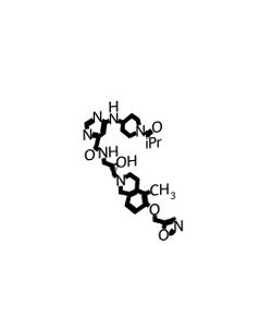 Cc1c(OCc2cnco2)ccc2c1CCN(C[C@@H](O)CNC(=O)c1cc(NC3CCN(C(=O)C(C)C)CC3)ncn1)C2